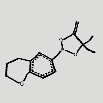 C=C1OB(c2ccc3c(c2)CCCO3)OC1(C)C